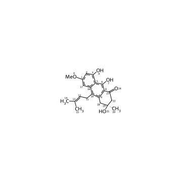 COc1cc(O)c2c(O)c3c(c(CC=C(C)C)c2c1)C[C@](C)(O)CC3=O